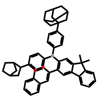 CC1(C)c2ccccc2-c2cc(-c3ccc4ccccc4c3)c(N(c3ccc(C4CC5CCC4C5)cc3)c3ccc(C45CC6CC(CC(C6)C4)C5)cc3)cc21